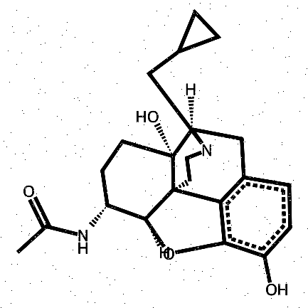 CC(=O)N[C@@H]1CC[C@@]2(O)[C@H]3Cc4ccc(O)c5c4[C@@]2(CCN3CC2CC2)[C@H]1O5